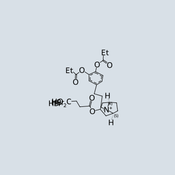 Br.Br.CCC(=O)Oc1ccc(CCC[N+]2(C)[C@@H]3CC[C@H]2CC(OC(=O)CCC(=O)O)C3)cc1OC(=O)CC